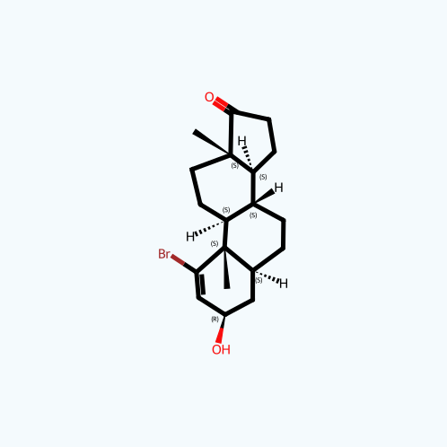 C[C@]12C(Br)=C[C@H](O)C[C@@H]1CC[C@@H]1[C@@H]2CC[C@]2(C)C(=O)CC[C@@H]12